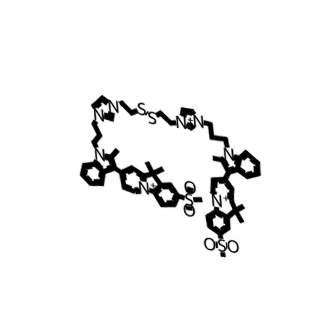 Cc1c(-c2cc[n+]3c(c2)C(C)(C)c2cc(S(C)(=O)=O)ccc2-3)c2ccccc2n1CCCn1cc[n+](CCSSCC[n+]2ccn(CCCn3c(C)c(-c4cc[n+]5c(c4)C(C)(C)c4cc(S(C)(=O)=O)ccc4-5)c4ccccc43)c2)c1